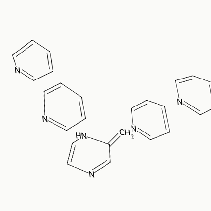 C=C1C=NC=CN1.c1ccncc1.c1ccncc1.c1ccncc1.c1ccncc1